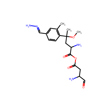 COC(C)(CC(N)C(=O)OC(=O)CC(N)C=O)c1ccc(C=NN)cc1C